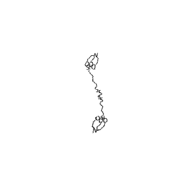 C(CC[Si]12OCCN(CCO1)CCO2)CSSSSCCCC[Si]12OCCN(CCO1)CCO2